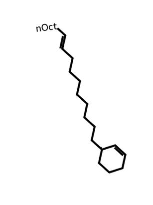 CCCCCCCCC=CCCCCCCCC[C]1C=CCCC1